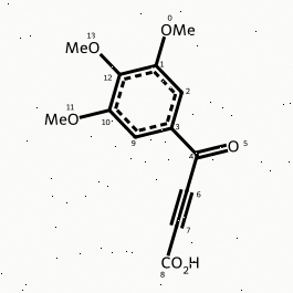 COc1cc(C(=O)C#CC(=O)O)cc(OC)c1OC